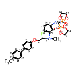 CN(CCCOc1ccc(-c2ccc(C(F)(F)F)cc2)cc1)c1cc(NC(P2(=O)OCCO2)P2(=O)OCCO2)ccc1F